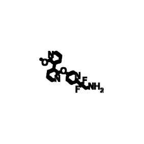 COc1ncccc1-c1cccnc1Oc1ccc(C(F)(F)CN)nc1